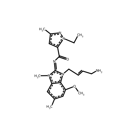 CCn1nc(C)cc1C(=O)/N=c1/n(C)c2cc(C)cc(OC)c2n1C/C=C/CN